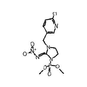 COP(=O)(OC)N1CCN(Cc2ccc(Cl)nc2)/C1=N\[N+](=O)[O-]